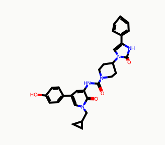 O=C(Nc1cc(-c2ccc(O)cc2)cn(CC2CC2)c1=O)N1CCC(n2cc(-c3ccccc3)[nH]c2=O)CC1